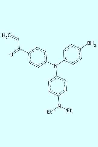 Bc1ccc(N(c2ccc(C(=O)C=C)cc2)c2ccc(N(CC)CC)cc2)cc1